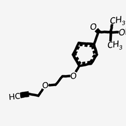 C#CCOCCOc1ccc(C(=O)C(C)(C)O)cc1